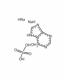 O.O=S(=O)(O)O.[NaH].[NaH].c1ncc2[nH]cnc2n1